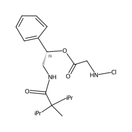 CC(C)C(C)(C(=O)NC[C@@H](OC(=O)CNCl)c1ccccc1)C(C)C